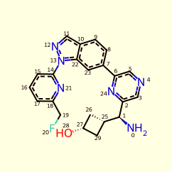 N[C@H](c1cncc(-c2ccc3cnn(-c4cccc(CF)n4)c3c2)n1)[C@H]1C[C@@H](O)C1